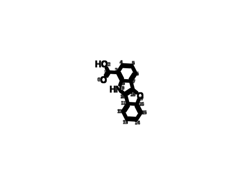 O=C(O)c1cccc2c1[nH]c1c3ccccc3oc21